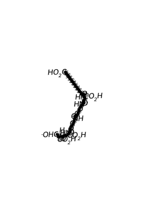 O=[C]CC[C@H](NC(=O)CC[C@H](NC(=O)COCCOCCNC(=O)COCCOCCNC(=O)CC[C@H](NC(=O)CCCCCCCCCCCCCCCCCCC(=O)O)C(=O)O)C(=O)O)C(=O)O